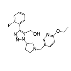 CCOc1ccc(CN2CCC(n3nnc(-c4ccccc4F)c3CO)C2)cn1